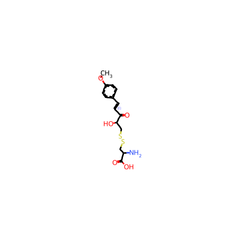 COc1ccc(/C=C/C(=O)C(O)CSSCC(N)C(=O)O)cc1